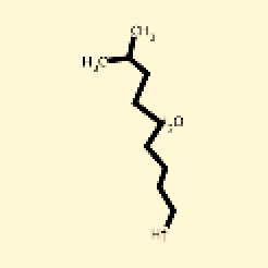 CC(C)CCCCCC[CH2][Hf].O